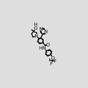 CC1(O)CCN(c2ccc(C(=O)Nc3ccc(OC(F)(F)I)cc3)cc2-c2cncnc2)C1